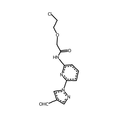 O=Cc1cnn(-c2cccc(NC(=O)COCCCl)n2)c1